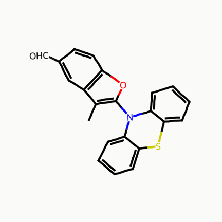 Cc1c(N2c3ccccc3Sc3ccccc32)oc2ccc(C=O)cc12